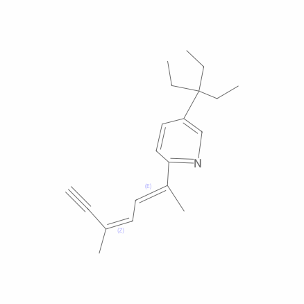 C#C/C(C)=C\C=C(/C)c1ccc(C(CC)(CC)CC)cn1